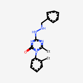 CCc1ccccc1-n1c(CC)nc(NNCc2ccccc2)nc1=O